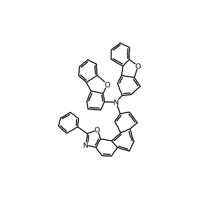 c1ccc(-c2nc3ccc4ccc5ccc(N(c6ccc7oc8ccccc8c7c6)c6cccc7c6oc6ccccc67)cc5c4c3o2)cc1